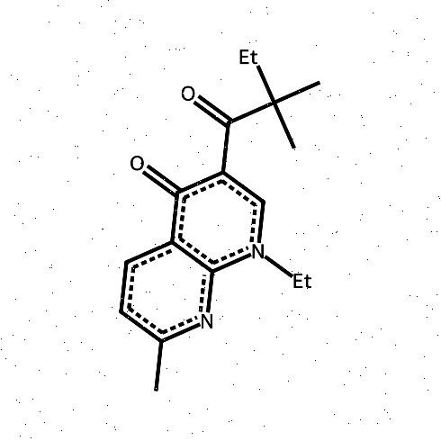 CCn1cc(C(=O)C(C)(C)CC)c(=O)c2ccc(C)nc21